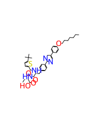 CCCCCCCOc1ccc(-c2cnc(-c3ccc(C[C@H](NC(=O)c4ccc(C(C)(C)C)s4)C(=O)N[C@@H](CC)C(=O)O)cc3)nc2)cc1